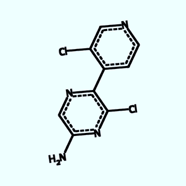 Nc1cnc(-c2ccncc2Cl)c(Cl)n1